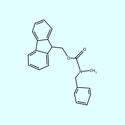 CN(Cc1ccccc1)C(=O)OCC1c2ccccc2-c2ccccc21